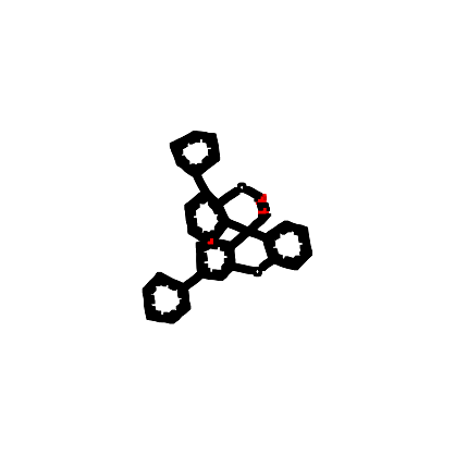 c1ccc(-c2ccc3c(c2)Oc2ccccc2C32c3ccccc3Oc3c(-c4ccccc4)cccc32)cc1